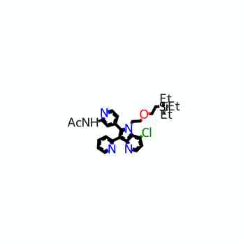 CC[Si](CC)(CC)CCOCCn1c(-c2ccnc(NC(C)=O)c2)c(-c2ccccn2)c2nccc(Cl)c21